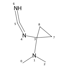 CN(C)C1(N=C=N)CC1